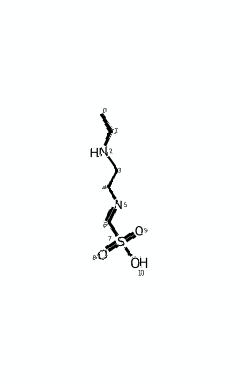 CCNCCN=CS(=O)(=O)O